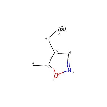 CC1ON=[C]C1CC(C)(C)C